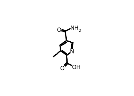 Cc1cc(C(N)=O)cnc1C(=O)O